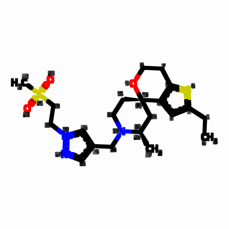 CCc1cc2c(s1)CCO[C@@]21CCN(Cc2cnn(CCS(C)(=O)=O)c2)[C@H](C)C1